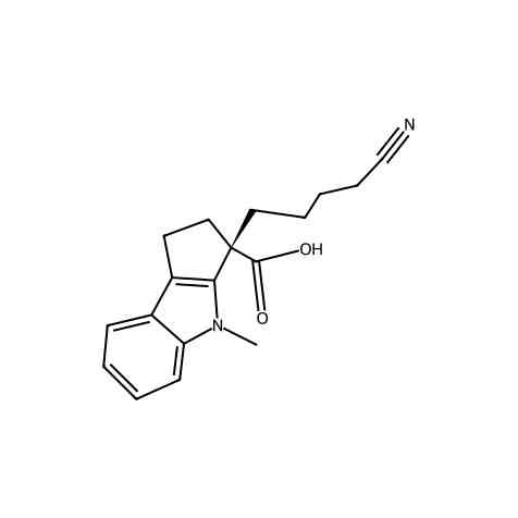 Cn1c2c(c3ccccc31)CC[C@]2(CCCCC#N)C(=O)O